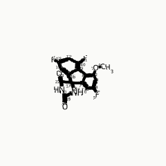 COc1cc(F)cc2c1-c1c(F)cc(F)cc1C21NC(=O)NC1=O